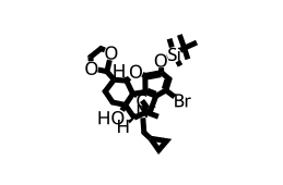 CC(C)(C)[Si](C)(C)Oc1cc(Br)c2c3c1O[C@H]1C(C4OCCO4)CCC4(O)[C@@H](C2)[N+](C)(CC2CC2)CC[C@]314